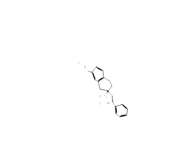 COc1ccc2c(c1)CC(N)(C[C@H](O)c1ccccc1)CC2